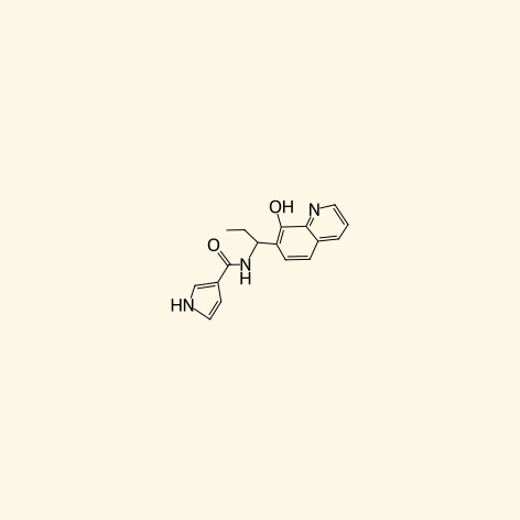 CCC(NC(=O)c1cc[nH]c1)c1ccc2cccnc2c1O